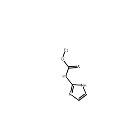 CCOC(=S)Nc1ncc[nH]1